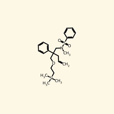 C=CCC(COCC[Si](C)(C)C)(CN(C)S(=O)(=O)c1ccccc1)c1ccccc1